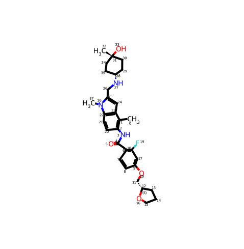 Cc1c(NC(=O)c2ccc(OC[C@@H]3CCCO3)cc2F)ccc2c1cc(CN[C@H]1CC[C@@](C)(O)CC1)n2C